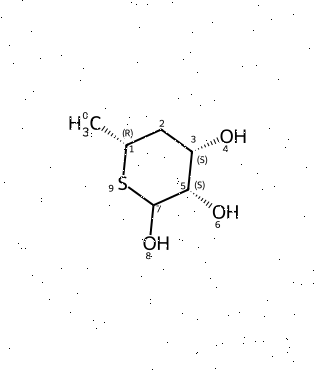 C[C@@H]1C[C@H](O)[C@H](O)C(O)S1